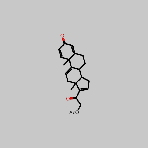 CC(=O)OCC(=O)C1=CCC2C3CCC4=CC(=O)C=CC4(C)C3=CCC12C